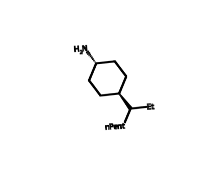 CCCCCC(CC)[C@H]1CC[C@H](N)CC1